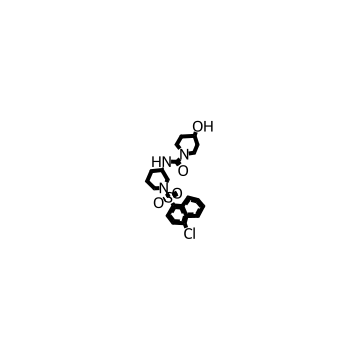 O=C(N[C@H]1CCCN(S(=O)(=O)c2ccc(Cl)c3ccccc23)C1)N1CCC(O)CC1